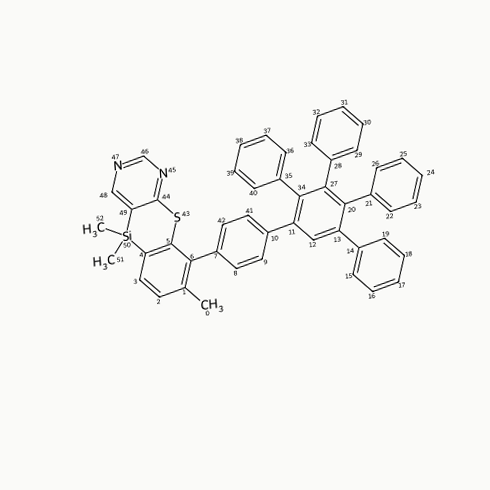 Cc1ccc2c(c1-c1ccc(-c3cc(-c4ccccc4)c(-c4ccccc4)c(-c4ccccc4)c3-c3ccccc3)cc1)Sc1ncncc1[Si]2(C)C